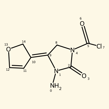 NN1C(=O)N(C(=O)Cl)CC1=C1C=COC1